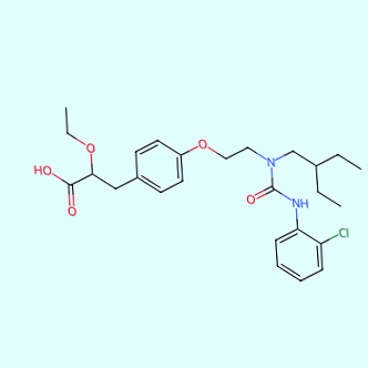 CCOC(Cc1ccc(OCCN(CC(CC)CC)C(=O)Nc2ccccc2Cl)cc1)C(=O)O